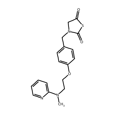 CN(CCOc1ccc(CN2CC(=O)SC2=O)cc1)c1ccccn1